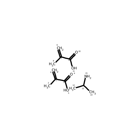 C=C(C)C(=O)O.C=C(C)C(=O)O.CC(C)N